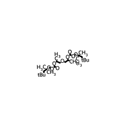 CC(COCC(C)OC(=O)OOC(C)(C)CC(C)(C)C)OC(=O)OOC(C)(C)CC(C)(C)C